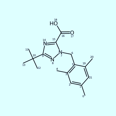 Cc1cc(C)c(Cn2nc(C(C)(C)C)nc2C(=O)O)c(C)c1